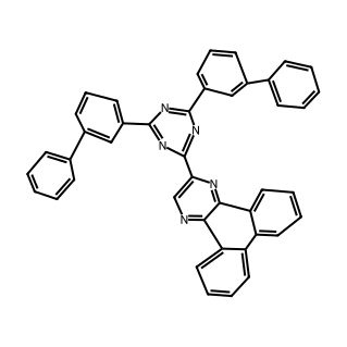 c1ccc(-c2cccc(-c3nc(-c4cccc(-c5ccccc5)c4)nc(-c4cnc5c6ccccc6c6ccccc6c5n4)n3)c2)cc1